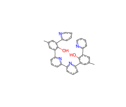 Cc1cc(-c2ccccn2)c(O)c(-c2cccc(-c3cccc(-c4cc(C)cc(-c5ccccn5)c4O)n3)n2)c1